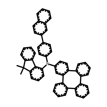 CC1(C)c2ccccc2-c2c(N(c3ccc(-c4ccc5ccccc5c4)cc3)c3ccc4c(c3)-c3ccccc3-c3ccccc3-c3ccccc3-4)cccc21